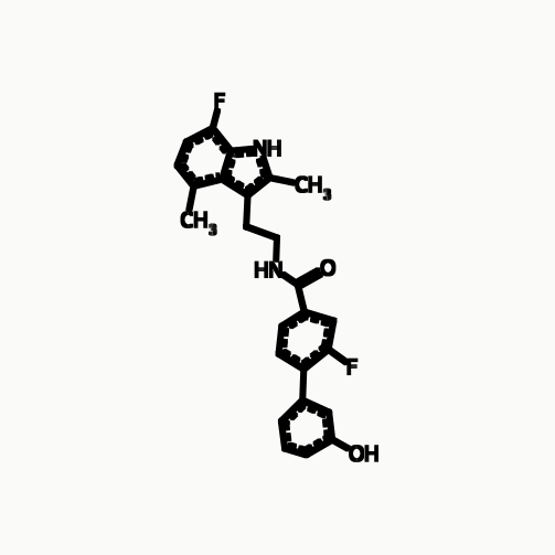 Cc1[nH]c2c(F)ccc(C)c2c1CCNC(=O)c1ccc(-c2cccc(O)c2)c(F)c1